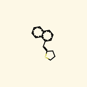 C(=C1/CCCS1)/c1cccc2ccccc12